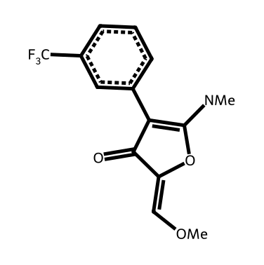 CNC1=C(c2cccc(C(F)(F)F)c2)C(=O)C(=COC)O1